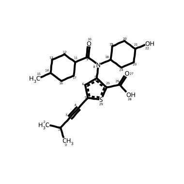 CC(C)C#Cc1cc(N(C(=O)C2CCC(C)CC2)C2CCC(O)CC2)c(C(=O)O)s1